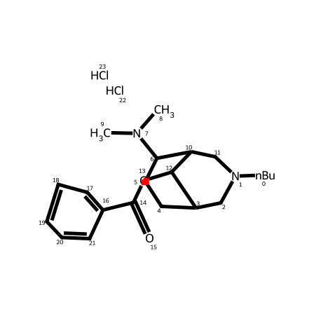 CCCCN1CC2CCC(N(C)C)C(C1)C2OC(=O)c1ccccc1.Cl.Cl